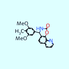 COc1cc(C2NC(=O)Oc3c2ccc2cccnc32)cc(OC)c1C